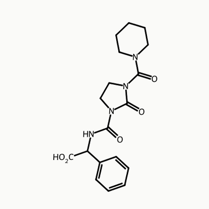 O=C(O)C(NC(=O)N1CCN(C(=O)N2CCCCC2)C1=O)c1ccccc1